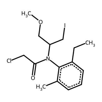 CCc1cccc(C)c1N(C(=O)CCl)C(CI)COC